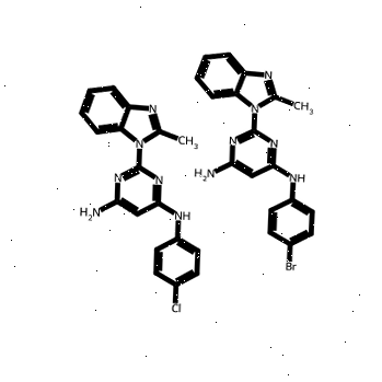 Cc1nc2ccccc2n1-c1nc(N)cc(Nc2ccc(Br)cc2)n1.Cc1nc2ccccc2n1-c1nc(N)cc(Nc2ccc(Cl)cc2)n1